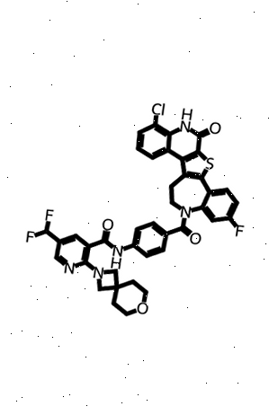 O=C(Nc1ccc(C(=O)N2CCc3c(sc4c(=O)[nH]c5c(Cl)cccc5c34)-c3ccc(F)cc32)cc1)c1cc(C(F)F)cnc1N1CC2(CCOCC2)C1